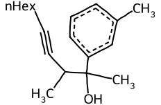 CCCCCCC#CC(C)C(C)(O)c1cccc(C)c1